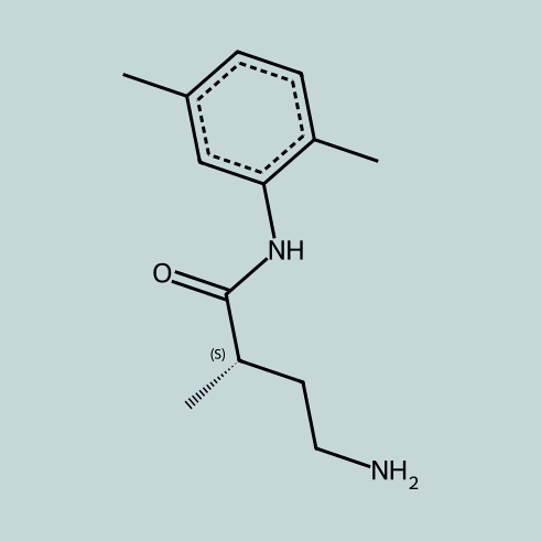 Cc1ccc(C)c(NC(=O)[C@@H](C)CCN)c1